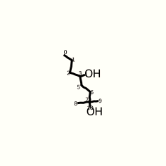 CCCC(O)CCC(C)(C)O